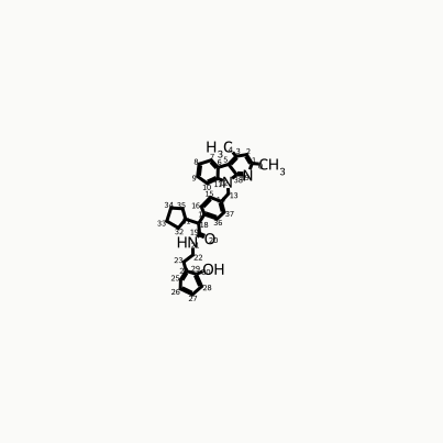 Cc1cc(C)c2c3ccccc3n(Cc3ccc(C(C(=O)NCCc4ccccc4O)C4CCCC4)cc3)c2n1